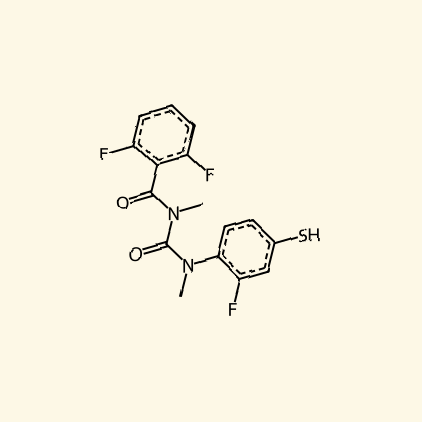 CN(C(=O)c1c(F)cccc1F)C(=O)N(C)c1ccc(S)cc1F